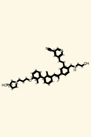 Cc1c(/C=C(\F)c2ccc(CNCCO)c(CCc3cncc(C#N)c3)c2)cccc1-c1cccc(OCCCN2CC[C@@H](O)C2)c1C